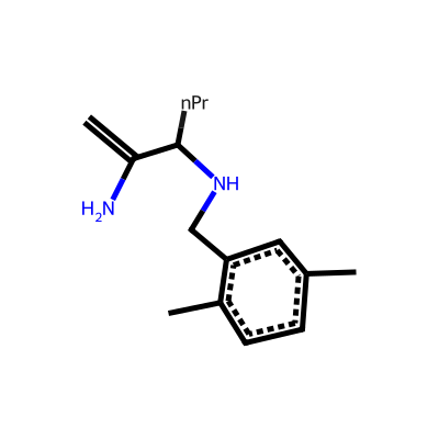 C=C(N)C(CCC)NCc1cc(C)ccc1C